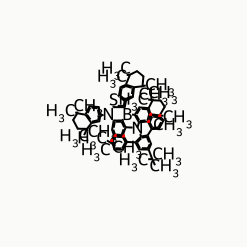 CC(C)(C)c1cc(-c2ccccc2)c(N2c3cc4c(cc3B3c5c(cc(C(C)(C)C)cc52)N(c2ccc5c(c2)C(C)(C)CCC5(C)C)c2sc5cc6c(cc5c23)C(C)(C)CCC6(C)C)C(C)(C)CCC4(C)C)c(-c2ccccc2)c1